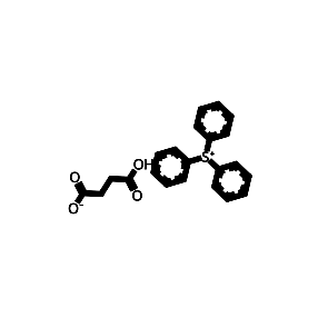 O=C([O-])CCC(=O)O.c1ccc([S+](c2ccccc2)c2ccccc2)cc1